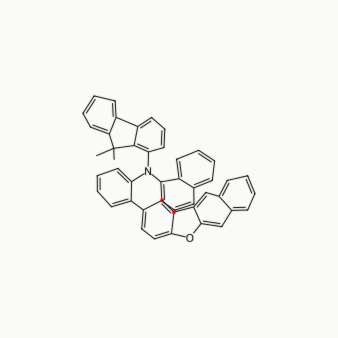 CC1(C)c2ccccc2-c2cccc(N(c3ccccc3-c3ccc4oc5cc6ccccc6cc5c4c3)c3cccc4ccccc34)c21